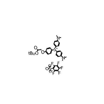 CN(C)c1ccc([S+](c2ccc(OCC(=O)OC(C)(C)C)cc2)c2ccc(N(C)C)cc2)cc1.O=S(=O)([O-])c1c(F)c(F)c(F)c(F)c1F